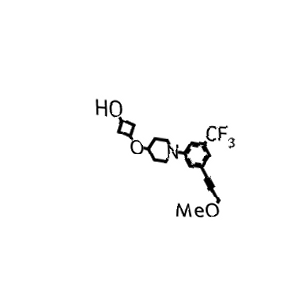 COCC#Cc1cc(N2CCC(OC3CC(O)C3)CC2)cc(C(F)(F)F)c1